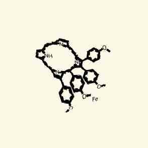 COc1ccc(C2=Cc3cc4ccc(cc5nc(cc6[nH]c(c(-c7ccc(OC)cc7)c2n3)c(-c2ccc(OC)cc2)c6-c2ccc(OC)cc2)C=C5)[nH]4)cc1.[Fe]